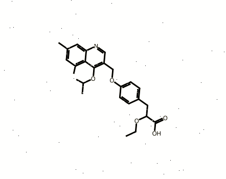 CCOC(Cc1ccc(OCc2cnc3cc(C)cc(C)c3c2OC(C)C)cc1)C(=O)O